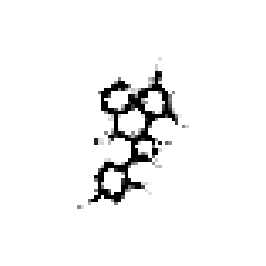 OC(c1cccnc1)c1c(-c2ccc(F)cc2F)noc1-c1ccc(F)cc1Cl